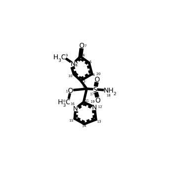 COC(c1ccc(=O)n(C)c1)(c1ncccn1)S(N)(=O)=O